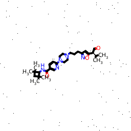 CC(C)[C@H](C=O)c1cc(CCCN2CCN(c3ccc(C(=O)NC4C(C)(C)CC4(C)C)cn3)CC2)no1